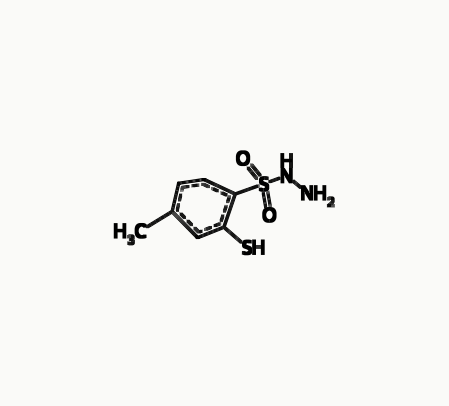 Cc1ccc(S(=O)(=O)NN)c(S)c1